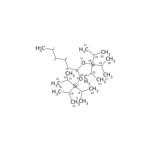 CCCCCC(O[Si](C(C)C)(C(C)C)C(C)C)O[Si](C(C)C)(C(C)C)C(C)C